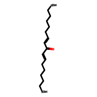 CCCCCCCCCCCCCCCC=CC(=O)C=CCCCCCCCCCCCCCCC